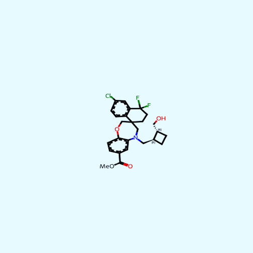 COC(=O)c1ccc2c(c1)N(C[C@@H]1CC[C@H]1CO)CC1(CCC(F)(F)c3cc(Cl)ccc31)CO2